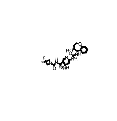 O=C(Nc1cc2[nH]nc(NC(=O)N3CC(F)(F)C3)c2cn1)N[C@H]1c2ccccc2OCC[C@@H]1O